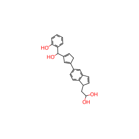 Oc1ccccc1C(O)C1=CCC(c2ccc3c(c2)C=CC3CC(O)O)=C1